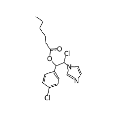 CCCCCC(=O)OC(c1ccc(Cl)cc1)C(Cl)n1ccnc1